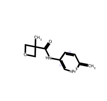 C=C(F)/C=C\C(=C/CCC)NC(=O)C1(C)COC1